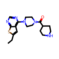 CCc1cc2c(N3CCN(C(=O)C4CCNCC4)CC3)ncnc2s1